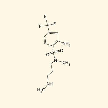 CNCCCN(C)S(=O)(=O)c1ccc(C(F)(F)F)cc1N